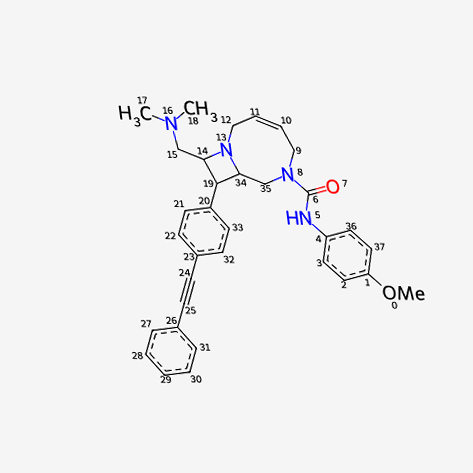 COc1ccc(NC(=O)N2CC=CCN3C(CN(C)C)C(c4ccc(C#Cc5ccccc5)cc4)C3C2)cc1